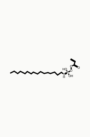 C=CC(=O)OOP(O)(O)=[SH]CCCCCCCCCCCCCCCC